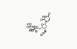 [N-]=[N+]=N[C@@H]1C[C@H](n2ccc(=O)[nH]c2=O)O[C@@H]1COP(=O)(O)NP(=O)(O)O